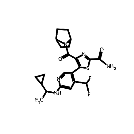 NC(=O)c1nc(C(=O)N2C3CCC2CC3)c(-c2cnc(NC(C3CC3)C(F)(F)F)cc2C(F)F)s1